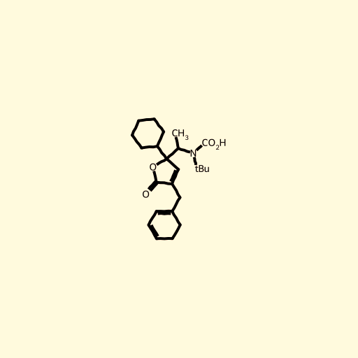 CC(N(C(=O)O)C(C)(C)C)C1(C2CCCCC2)C=C(CC2=CC=CCC2)C(=O)O1